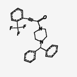 O=C(C#Cc1ccccc1C(F)(F)F)N1CCN(C(c2ccccc2)c2ccccc2)CC1